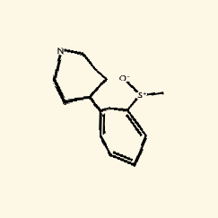 C[S+]([O-])c1ccccc1C1CC[N]CC1